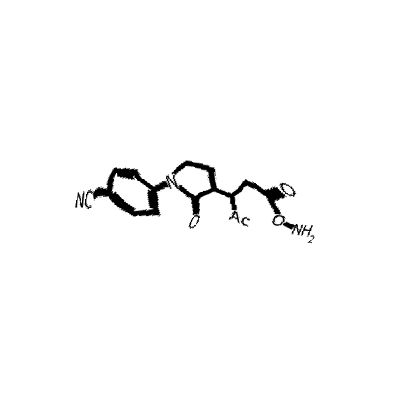 CC(=O)C(CC(=O)ON)C1CCN(c2ccc(C#N)cc2)C1=O